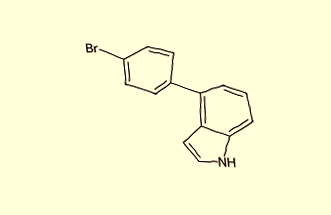 Brc1ccc(-c2cccc3[nH]ccc23)cc1